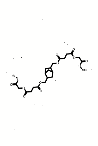 CC(C)(C)OC(=O)COC(=O)CCC(=O)OCC1CC2CC1CC2COC(=O)CCC(=O)OCC(=O)OC(C)(C)C